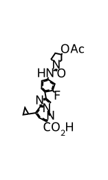 CC(=O)OC1CCN(C(=O)Nc2ccc(-c3cn4nc(C(=O)O)cc(C5CC5)c4n3)c(F)c2)C1